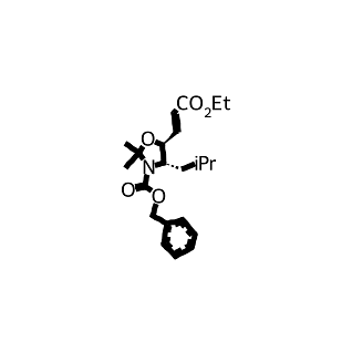 CCOC(=O)/C=C/[C@@H]1OC(C)(C)N(C(=O)OCc2ccccc2)[C@H]1CC(C)C